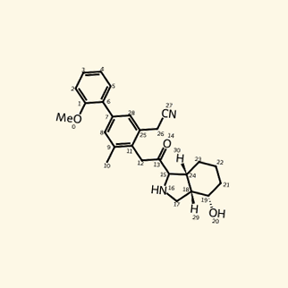 COc1ccccc1-c1cc(C)c(CC(=O)C2NC[C@H]3[C@@H](O)CCC[C@@H]23)c(CC#N)c1